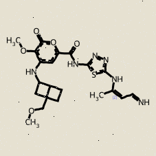 COCC12CCC1C(Nc1cc(C(=O)Nc3nnc(N/C(C)=C\C=N)s3)oc(=O)c1OC)C2